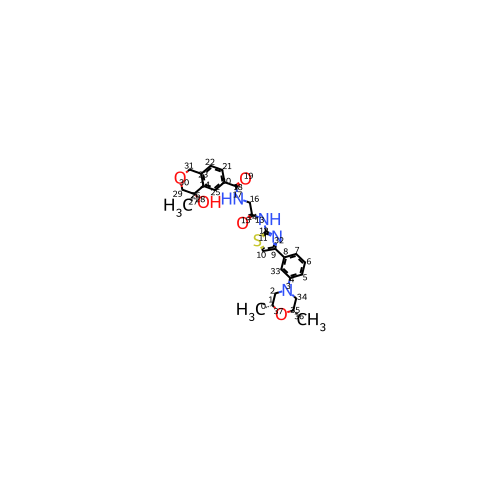 C[C@@H]1CN(c2cccc(-c3csc(NC(=O)CNC(=O)c4ccc5c(c4)[C@@](C)(O)COC5)n3)c2)C[C@H](C)O1